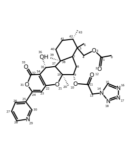 CC(=O)OCC1(C)C2C[C@H](OC(=O)Cn3cnnn3)[C@@]3(C)Oc4cc(-c5cccnc5)oc(=O)c4[C@H](O)C3[C@@]2(C)CC[C@@H]1C